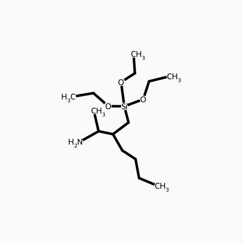 CCCCC(C[Si](OCC)(OCC)OCC)C(C)N